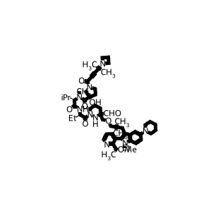 CC[C@H](NC(=O)[C@H](C(C)C)N(C)C(=O)C1(O)CCN(C(=O)C#CC(C)(C)N2CCC2)C1)C(=O)N1CCCC(C=O)(COCC(C)(C)Cc2c(-c3cccnc3[C@H](C)OC)n(CC)c3ccc(N4CCCCC4)cc23)N1